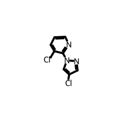 Clc1cnn(-c2ncccc2Cl)c1